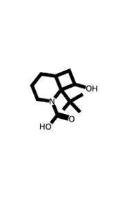 CC(C)(C)C12C(O)CC1CCCN2C(=O)O